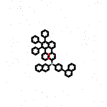 c1ccc(-c2c(-c3ccccc3)c(-c3ccccc3)c3c(-c4ccc(N(c5ccc(-c6cccc7ccccc67)cc5)c5ccc6ccccc6c5)cc4)cccc3c2-c2ccccc2)cc1